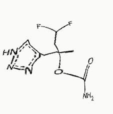 CC(OC(N)=O)(c1c[nH]nn1)C(F)F